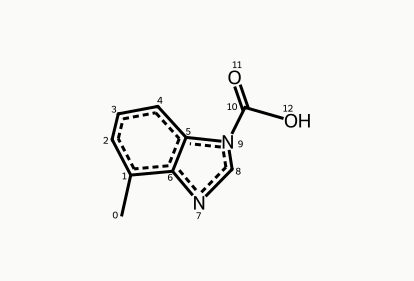 Cc1cccc2c1ncn2C(=O)O